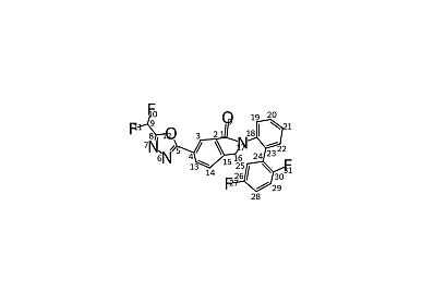 O=C1c2cc(-c3nnc(C(F)F)o3)ccc2CN1c1ccccc1-c1cc(F)ccc1F